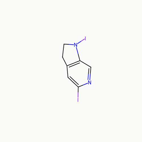 Ic1cc2c(cn1)N(I)CC2